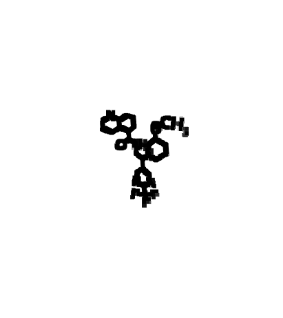 COC1CCCN(C(CNC(=O)c2cccc3ncccc23)c2cnc(C(F)(F)F)nc2)C1